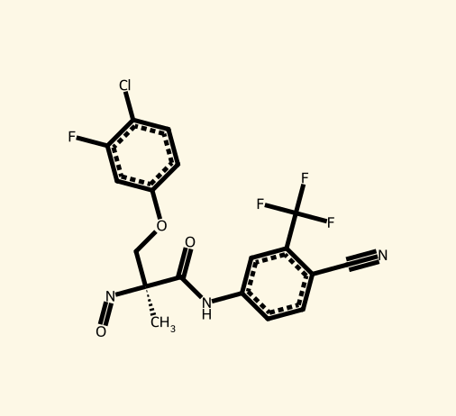 C[C@@](COc1ccc(Cl)c(F)c1)(N=O)C(=O)Nc1ccc(C#N)c(C(F)(F)F)c1